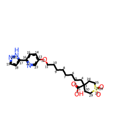 O=C(O)C1(CCCCCCCCOc2ccc(-c3ccn[nH]3)nc2)CCS(=O)(=O)CC1